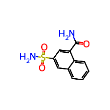 NC(=O)c1cc(S(N)(=O)=O)cc2ccccc12